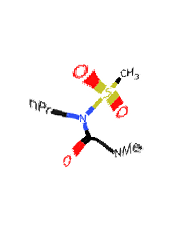 [CH2]CCN(C(=O)NC)S(C)(=O)=O